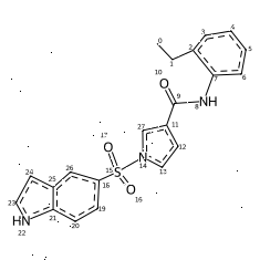 CCc1ccccc1NC(=O)c1ccn(S(=O)(=O)c2ccc3[nH]ccc3c2)c1